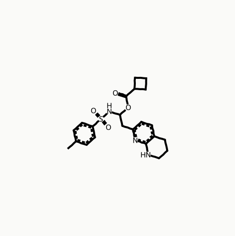 Cc1ccc(S(=O)(=O)NC(Cc2ccc3c(n2)NCCC3)OC(=O)C2CCC2)cc1